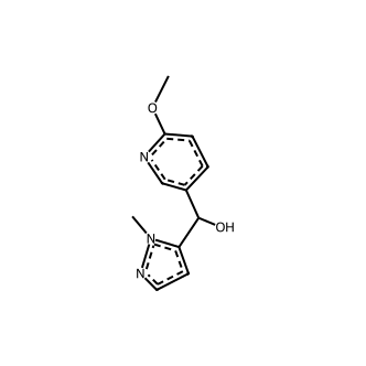 COc1ccc(C(O)c2ccnn2C)cn1